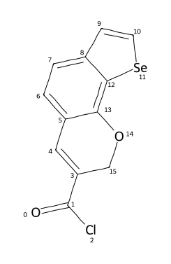 O=C(Cl)C1=Cc2ccc3cc[se]c3c2OC1